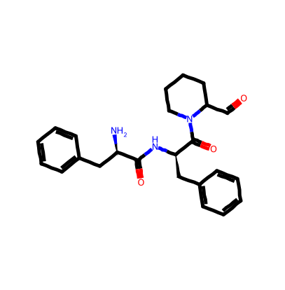 N[C@H](Cc1ccccc1)C(=O)N[C@H](Cc1ccccc1)C(=O)N1CCCCC1C=O